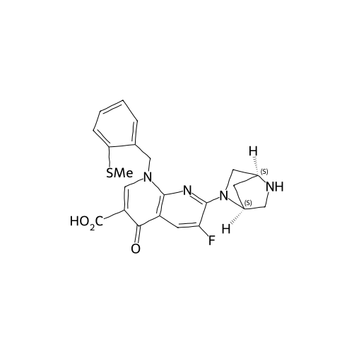 CSc1ccccc1Cn1cc(C(=O)O)c(=O)c2cc(F)c(N3C[C@@H]4C[C@H]3CN4)nc21